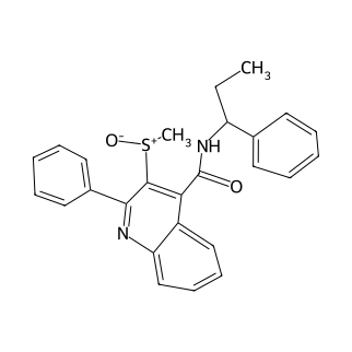 CCC(NC(=O)c1c([S+](C)[O-])c(-c2ccccc2)nc2ccccc12)c1ccccc1